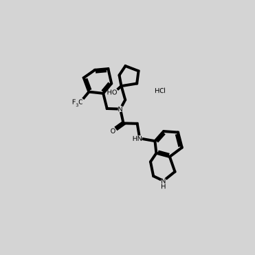 Cl.O=C(CNc1cccc2c1CCNC2)N(Cc1ccccc1C(F)(F)F)CC1(O)CCCC1